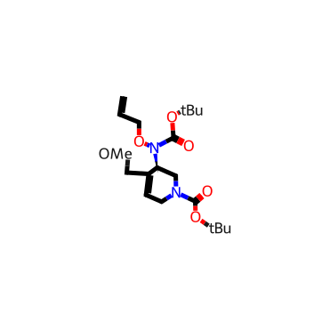 C=CCON(C(=O)OC(C)(C)C)[C@H]1CN(C(=O)OC(C)(C)C)CC=C1COC